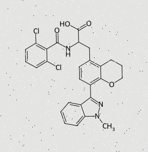 Cn1nc(-c2ccc(CC(NC(=O)c3c(Cl)cccc3Cl)C(=O)O)c3c2OCCC3)c2ccccc21